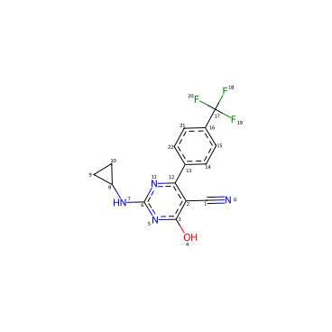 N#Cc1c(O)nc(NC2CC2)nc1-c1ccc(C(F)(F)F)cc1